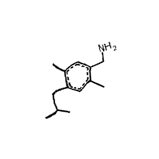 Cc1cc(CC(C)C)c(C)cc1CN